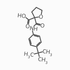 CC(C)(C)c1ccc(NC(=O)C2(C(=O)O)CCCO2)cc1